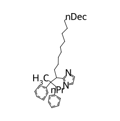 CCCCCCCCCCCCCCCCCCCC(c1nccn1CCC)C(C)(Cc1ccccc1)c1ccccc1